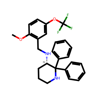 COc1ccc(OC(F)(F)F)cc1CN[C@H]1CCCNC1(c1ccccc1)c1ccccc1